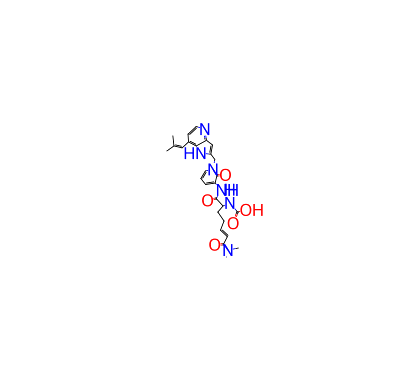 CC(C)=Cc1ccnc2cc(Cn3cccc(NC(=O)C(CCC=CC(=O)N(C)C)NC(=O)O)c3=O)[nH]c12